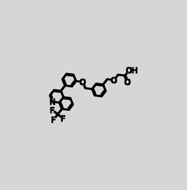 O=C(O)COCc1cccc(COc2cccc(-c3ccnc4c(C(F)(F)F)cccc34)c2)c1